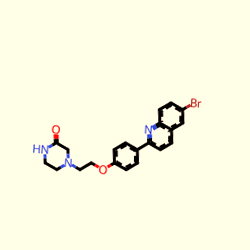 O=C1CN(CCOc2ccc(-c3ccc4cc(Br)ccc4n3)cc2)CCN1